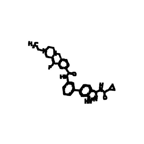 CCN1CCN2Cc3ccc(C(=O)Nc4cccc(-c5ccc6c(NC(=O)C7CC7)n[nH]c6c5)c4)cc3C(F)=C2C1